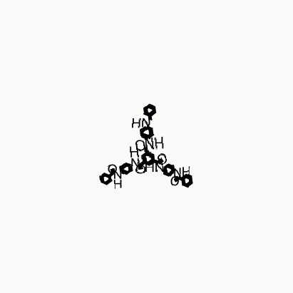 O=C(Nc1ccc(NC(=O)c2cc(C(=O)Nc3ccc(NCc4ccccc4)cc3)cc(C(=O)Nc3ccc(NC(=O)c4ccccc4)cc3)c2)cc1)c1ccccc1